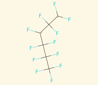 F[C](F)C(F)(F)[C](F)C(F)(F)C(F)(F)C(F)(F)F